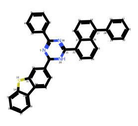 c1ccc(C2=NC(c3ccc4c(c3)sc3ccccc34)NC(c3cccc4c(-c5ccccc5)cccc34)=N2)cc1